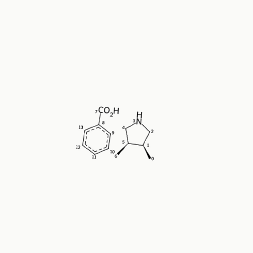 C[C@@H]1CNC[C@@H]1C.O=C(O)c1ccccc1